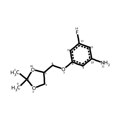 CC1(C)OCC(COc2cc(N)cc(F)c2)O1